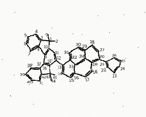 CC1(C)c2ccccc2-c2c1cc(-c1ccc3ccc4c(-c5ccccc5)ccc5ccc1c3c54)c1c2-c2ccccc2C1(C)C